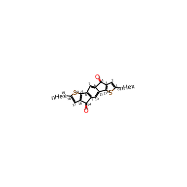 CCCCCCc1cc2c(=O)c3cc4c(cc3c2s1)c(=O)c1cc(CCCCCC)sc14